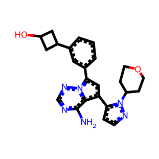 Nc1ncnn2c(-c3cccc(C4CC(O)C4)c3)cc(-c3ccnn3C3CCOCC3)c12